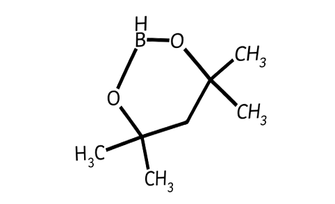 CC1(C)CC(C)(C)OBO1